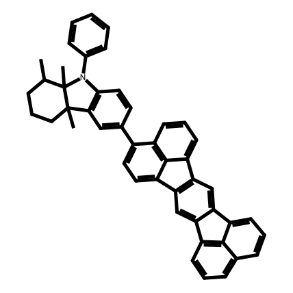 CC1CCCC2(C)c3cc(-c4ccc5c6cc7c(cc6c6cccc4c65)c4cccc5cccc7c54)ccc3N(c3ccccc3)C12C